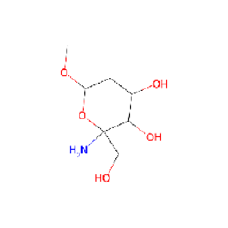 COC1CC(O)C(O)C(N)(CO)O1